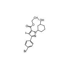 CCOC(=O)c1c(I)c(-c2ccc(Br)cc2)nn1C1CCCC(O)C1